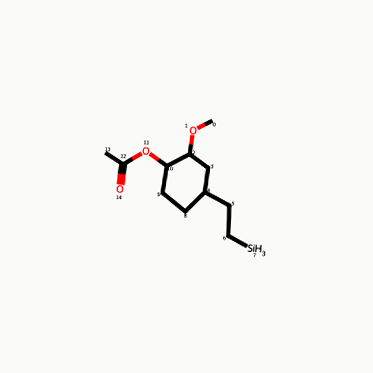 COC1CC(CC[SiH3])CCC1OC(C)=O